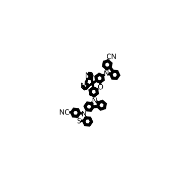 N#Cc1ccc2c(c1)Sc1ccccc1N2c1ccc2c(c1)c1ccccc1n2-c1ccc2c(c1)Oc1cc(-n3c4ccccc4c4cc(C#N)ccc43)ccc1C21c2cccnc2-c2ncccc21